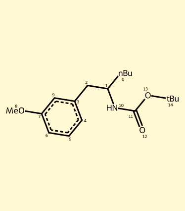 CCCCC(Cc1cccc(OC)c1)NC(=O)OC(C)(C)C